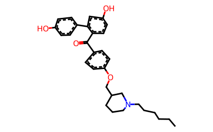 CCCCCCN1CCCC(COc2ccc(C(=O)c3ccc(O)cc3-c3ccc(O)cc3)cc2)C1